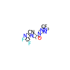 CC1CN(c2c(C#N)cnc3c(F)cc(F)cc23)CCC1C(=O)N1CCn2c(nnc2C(F)(F)F)C1